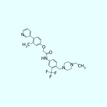 CCN1CCN(Cc2ccc(NC(=O)COc3ccc(-c4cccnc4)c(C)c3)cc2C(F)(F)F)CC1